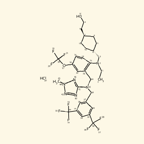 CCN(C[C@H]1CC[C@H](CCO)CC1)c1ccc(OC(F)(F)F)cc1CN(Cc1cc(C(F)(F)F)cc(C(F)(F)F)c1)c1nnn(C)n1.Cl